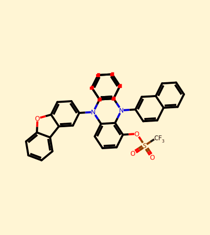 O=S(=O)(Oc1cccc(N(c2ccccc2)c2ccc3oc4ccccc4c3c2)c1N(c1ccccc1)c1ccc2ccccc2c1)C(F)(F)F